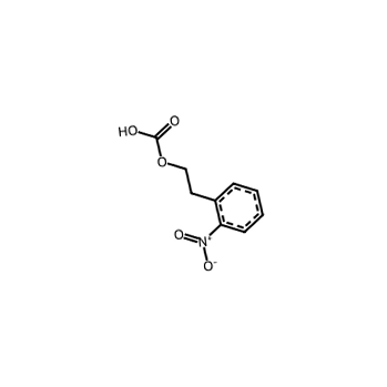 O=C(O)OCCc1ccccc1[N+](=O)[O-]